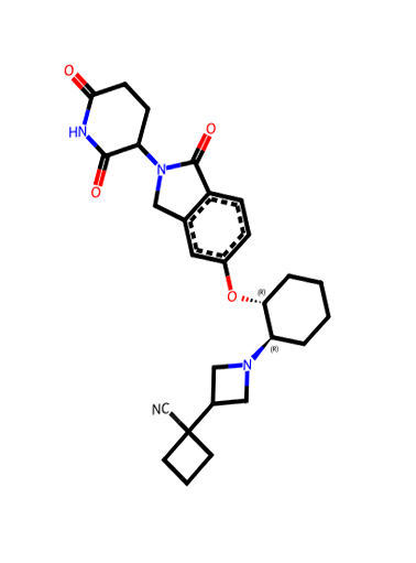 N#CC1(C2CN([C@@H]3CCCC[C@H]3Oc3ccc4c(c3)CN(C3CCC(=O)NC3=O)C4=O)C2)CCC1